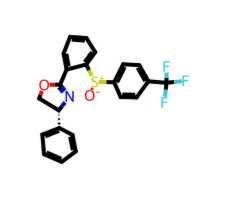 [O-][S@@+](c1ccc(C(F)(F)F)cc1)c1ccccc1C1=N[C@H](c2ccccc2)CO1